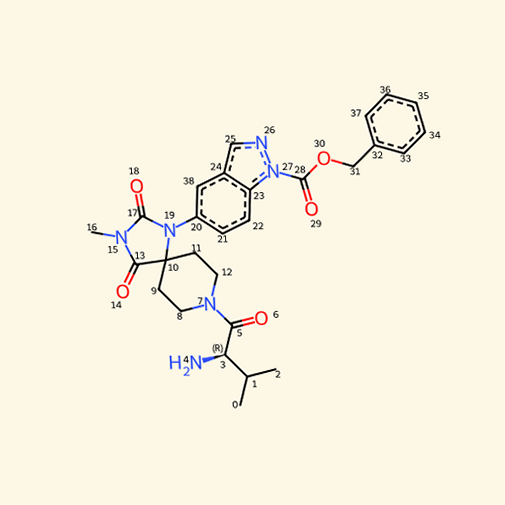 CC(C)[C@@H](N)C(=O)N1CCC2(CC1)C(=O)N(C)C(=O)N2c1ccc2c(cnn2C(=O)OCc2ccccc2)c1